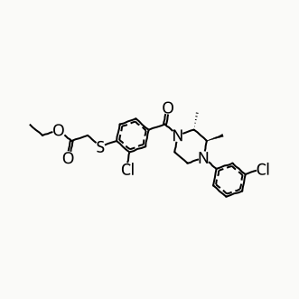 CCOC(=O)CSc1ccc(C(=O)N2CCN(c3cccc(Cl)c3)[C@H](C)[C@H]2C)cc1Cl